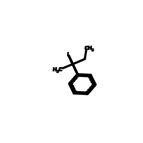 CCC(C)(I)c1ccccc1